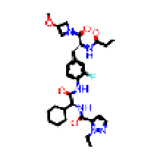 CCC(=O)N[C@H](Cc1ccc(NC(=O)[C@@H](NC(=O)c2ccnn2CC)C2CCCCC2)c(F)c1)C(=O)N1CC(OC)C1